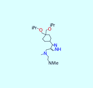 CNCCN(C)Cc1c[nH]nc1C1CCC(COC(C)C)(COC(C)C)CC1